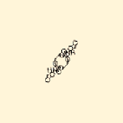 C=C1OCCCCO[C@H](C(=O)Nc2ccc3c(c2)Cc2ccccc2-3)C(=C)OCCCCOC1C(=O)Nc1ccc2c(c1)Cc1ccccc1-2